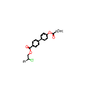 CCCCCCCCCCC(=O)Oc1ccc(-c2ccc(C(=O)OCC(Cl)C(C)C)cc2)cc1